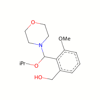 COc1cccc(CO)c1C(OC(C)C)N1CCOCC1